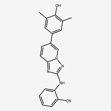 Cc1cc(-c2ccc3nc(Nc4ccccc4C#N)nn3c2)cc(C)c1O